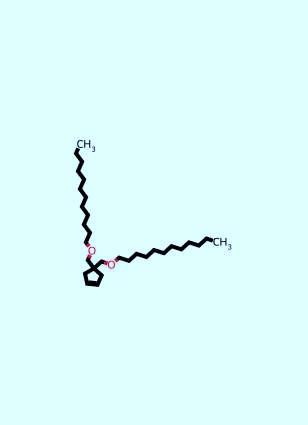 CCCCCCCCCCCCOCC1(COCCCCCCCCCCCC)CC=CC1